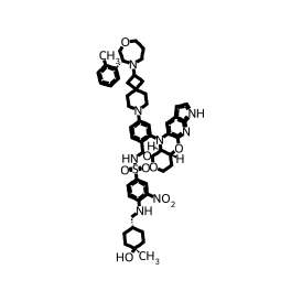 Cc1ccccc1[C@@H]1COCCCN1C1CC2(CCN(c3ccc(C(=O)NS(=O)(=O)c4ccc(NC[C@H]5CC[C@](C)(O)CC5)c([N+](=O)[O-])c4)c(N4c5cc6cc[nH]c6nc5O[C@@H]5CCOC[C@H]54)c3)CC2)C1